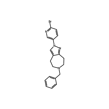 Brc1ccc(-n2cc3c(n2)CCN(Cc2ccccc2)CC3)cn1